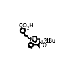 CC(C)(C)OC(=O)N(CC1CCN(CCCc2ccc(C(=O)O)cc2)CC1)C1CC1c1ccccc1